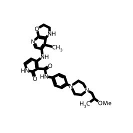 COC(C)CN1CCN(c2ccc(NC(=O)c3c(Nc4cnc5c(c4C)NCCO5)cc[nH]c3=O)cc2)CC1